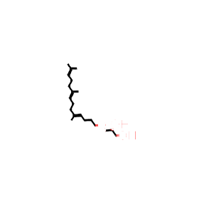 CC(C)=CCC/C(C)=C/CCC(C)=CCCCOCC(O)CO